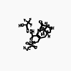 CS(=O)(=O)NCC1=C(C(=O)O)N2C(=O)[C@H]3NC[C@@H](C1)[C@H]32.O=C(O)C(F)(F)F